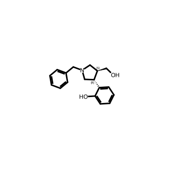 OC[C@@H]1CN(Cc2ccccc2)C[C@H]1c1ccccc1O